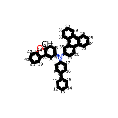 C[C@]12CC=C(N(c3ccc(-c4ccccc4)cc3)c3ccc4c5ccccc5c5ccccc5c4c3)C=C1c1ccccc1O2